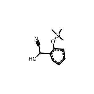 C[Si](C)(C)Oc1ccccc1C(O)C#N